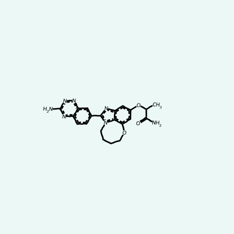 CC(Oc1cc2c3c(c1)nc(-c1ccc4nc(N)nnc4c1)n3CCCCO2)C(N)=O